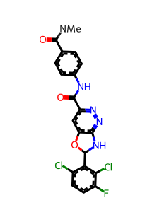 CNC(=O)c1ccc(NC(=O)c2cc3c(nn2)NC(c2c(Cl)ccc(F)c2Cl)O3)cc1